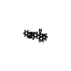 Nc1ccccc1NC(=O)c1ccc(C(S)c2cccc3cccnc23)cc1